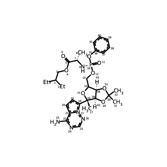 CCC(CC)COC(=O)[C@H](C)N[P@](=O)(OCC1O[C@@](C)(c2ccc3c(N)ncnn23)[C@@H]2OC(C)(C)O[C@H]12)Oc1ccccc1